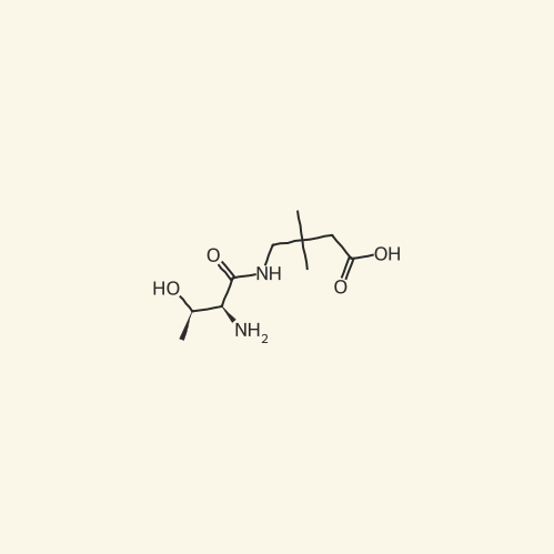 C[C@@H](O)[C@H](N)C(=O)NCC(C)(C)CC(=O)O